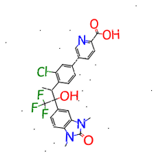 CC(c1ccc(-c2ccc(C(=O)O)nc2)cc1Cl)C(O)(c1ccc2c(c1)n(C)c(=O)n2C)C(F)(F)F